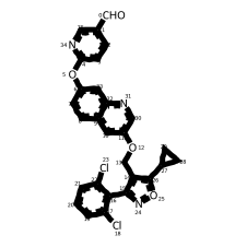 O=Cc1ccc(Oc2ccc3cc(OCc4c(-c5c(Cl)cccc5Cl)noc4C4CC4)cnc3c2)nc1